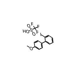 COc1ccc(-c2ccccc2I)cc1.O=S(=O)(O)C(F)(F)F